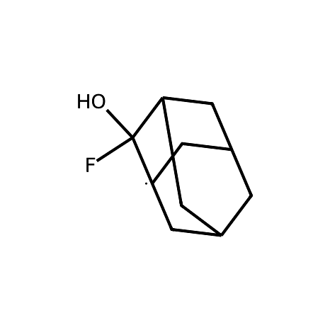 OC1(F)[C]2CC3CC(C2)CC1C3